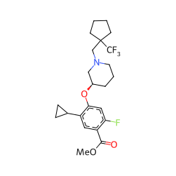 COC(=O)c1cc(C2CC2)c(O[C@@H]2CCCN(CC3(C(F)(F)F)CCCC3)C2)cc1F